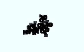 CC(=O)OC[C@H]1O[C@@H](n2cnc3c(=N)ncn(C)c32)[C@H](OC(C)=O)[C@@H]1OC(C)=O